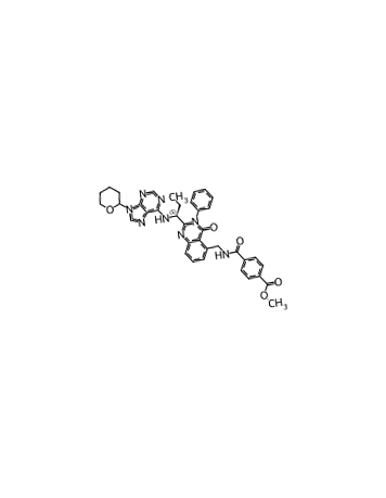 CC[C@H](Nc1ncnc2c1ncn2C1CCCCO1)c1nc2cccc(CNC(=O)c3ccc(C(=O)OC)cc3)c2c(=O)n1-c1ccccc1